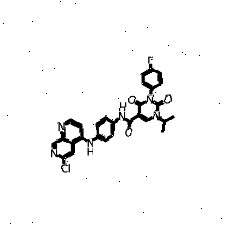 CC(C)n1cc(C(=O)Nc2ccc(Nc3ccnc4cnc(Cl)cc34)cc2)c(=O)n(-c2ccc(F)cc2)c1=O